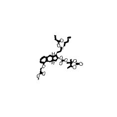 CCCCC[C@H](CC[C@@H]1[C@H]2Cc3cccc(OCC(=O)OC)c3C[C@H]2C[C@H]1OC(=O)OCC1(C)OC(=O)OC1C)OC(=O)CC